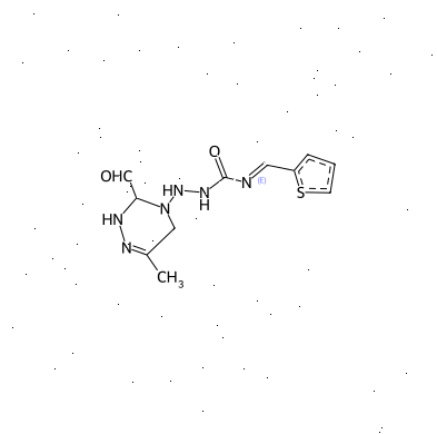 CC1=NNC(C=O)N(NNC(=O)/N=C/c2cccs2)C1